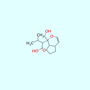 CC(C)C(C(=O)O)C1(CO)OC=CC2CCCC21